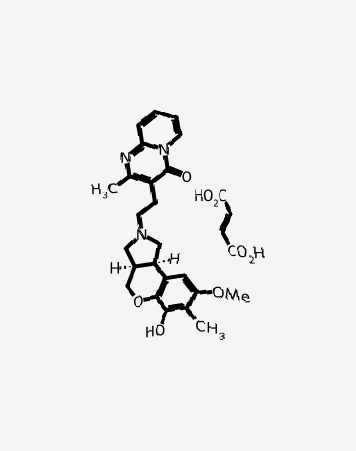 COc1cc2c(c(O)c1C)OC[C@H]1CN(CCc3c(C)nc4ccccn4c3=O)C[C@@H]21.O=C(O)/C=C/C(=O)O